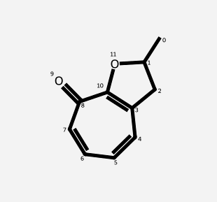 CC1Cc2ccccc(=O)c2O1